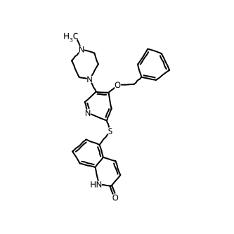 CN1CCN(c2cnc(Sc3cccc4[nH]c(=O)ccc34)cc2OCc2ccccc2)CC1